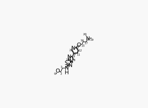 COCCNc1nn2cc(-c3ccc(OCCCN(C)C)nc3)nc2s1